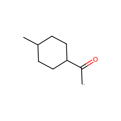 [CH2]C(=O)C1CCC(C)CC1